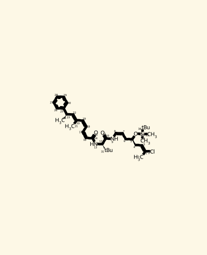 C/C(Cl)=C\C[C@@H](C/C=C\NC(=O)[C@@H](NC(=O)\C=C/C=C\C(C)=C\[C@H](C)c1ccccc1)C(C)(C)C)O[Si](C)(C)C(C)(C)C